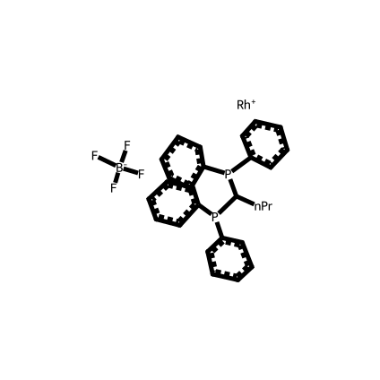 CCCC(P(c1ccccc1)c1ccccc1)P(c1ccccc1)c1ccccc1.F[B-](F)(F)F.[Rh+]